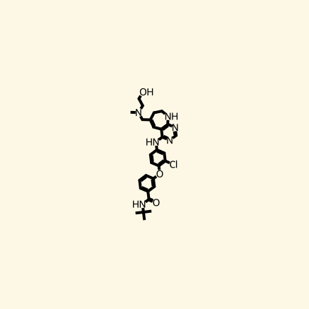 CN(CCO)CC1=Cc2c(ncnc2Nc2ccc(Oc3cccc(C(=O)NC(C)(C)C)c3)c(Cl)c2)NCC1